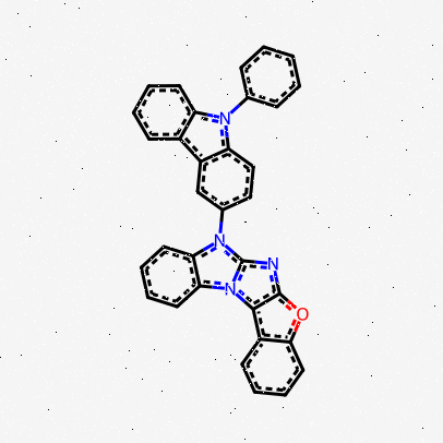 c1ccc(-n2c3ccccc3c3cc(-n4c5ccccc5n5c6c(nc45)oc4ccccc46)ccc32)cc1